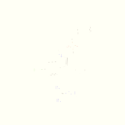 CCOC(=O)c1c(CS(=O)(=O)Cc2ccccc2)n(C)c2cc(Br)c(O)c(CNC(=N)N)c12